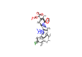 CC1=C2CCCC3=C2C(C=C1F)NC1=C3Cn2c1cc1c(c2=O)COC(=O)[C@H]1O